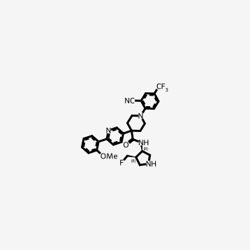 COc1ccccc1-c1ccc(C2(C(=O)N[C@H]3CNC[C@H]3CF)CCN(c3ccc(C(F)(F)F)cc3C#N)CC2)cn1